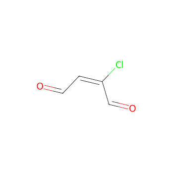 O=C/C=C(/Cl)C=O